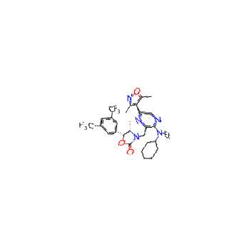 CCN(c1ncc(-c2c(C)noc2C)nc1CN1C(=O)O[C@H](c2cc(C(F)(F)F)cc(C(F)(F)F)c2)[C@@H]1C)C1CCCCC1